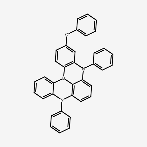 c1ccc(Oc2ccc3c(c2)N(c2ccccc2)c2cccc4c2B3c2ccccc2N4c2ccccc2)cc1